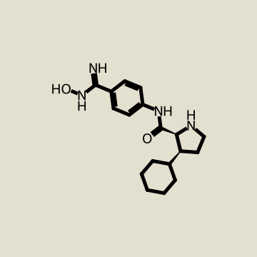 N=C(NO)c1ccc(NC(=O)[C@H]2NCC[C@H]2C2CCCCC2)cc1